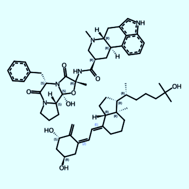 C=C1/C(=C\C=C2/CCC[C@]3(C)[C@@H]([C@H](C)CCCC(C)(C)O)CC[C@@H]23)C[C@@H](O)C[C@@H]1O.CN1C[C@H](C(=O)N[C@]2(C)O[C@@]3(O)[C@@H]4CCCN4C(=O)[C@H](Cc4ccccc4)N3C2=O)C[C@@H]2c3cccc4[nH]cc(c34)C[C@H]21